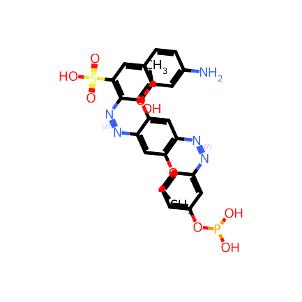 CCOc1cc(/N=N\c2c(S(=O)(=O)O)cc3ccc(N)cc3c2O)c(OCC)cc1/N=N\c1cccc(OP(O)O)c1